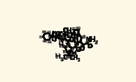 CC1(OC(=O)N[C@H](C(=O)N2CC3[C@@H]([C@H]2C(=O)NC(CC2CCC2)C(=O)C(N)=O)C3(C)C)C(C)(C)C)CCCCC1